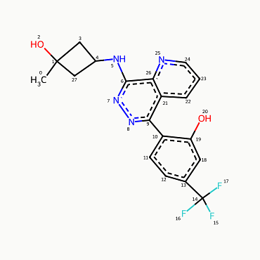 CC1(O)CC(Nc2nnc(-c3ccc(C(F)(F)F)cc3O)c3cccnc23)C1